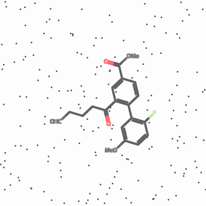 COC(=O)c1ccc(-c2cc(OC)ccc2F)c(C(=O)CCCC=O)c1